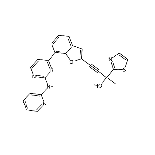 CC(O)(C#Cc1cc2cccc(-c3ccnc(Nc4ccccn4)n3)c2o1)c1nccs1